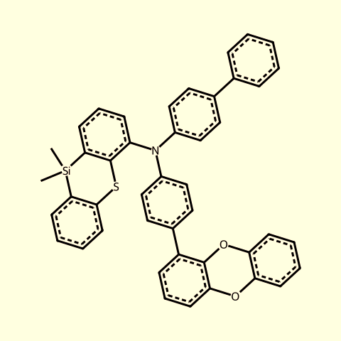 C[Si]1(C)c2ccccc2Sc2c(N(c3ccc(-c4ccccc4)cc3)c3ccc(-c4cccc5c4Oc4ccccc4O5)cc3)cccc21